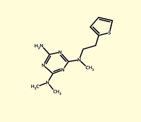 CN(C)c1nc(N)nc(N(C)CCc2cccs2)n1